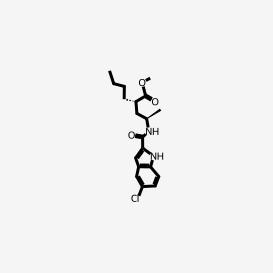 CCCC[C@@H](C[C@@H](C)NC(=O)c1cc2cc(Cl)ccc2[nH]1)C(=O)OC